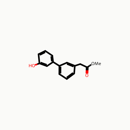 COC(=O)Cc1cccc(-c2cccc(O)c2)c1